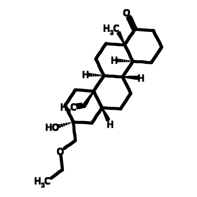 C=C[C@]12CC[C@](O)(COCC)C[C@H]1CC[C@@H]1[C@@H]2CC[C@]2(C)C(=O)CCC[C@@H]12